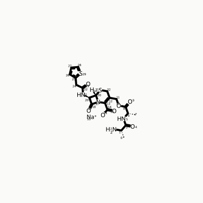 C[C@H](N)C(=O)N[C@@H](C)C(=O)OCC1=C(C(=O)[O-])N2C(=O)[C@@H](NC(=O)Cc3cccs3)[C@@H]2SC1.[Na+]